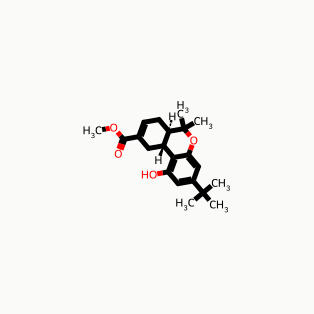 COC(=O)C1=CC[C@@H]2[C@@H](C1)c1c(O)cc(C(C)(C)C)cc1OC2(C)C